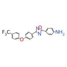 Nc1ccc(-c2nc(-c3ccc(Oc4ccc(C(F)(F)F)cc4)cc3)no2)cc1